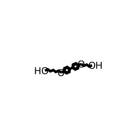 OCCCCCOc1ccc(-c2ccc(OCCCO)cc2)cc1